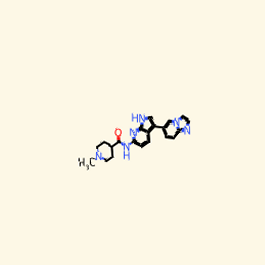 CN1CCC(C(=O)Nc2ccc3c(-c4ccc5nccn5c4)c[nH]c3n2)CC1